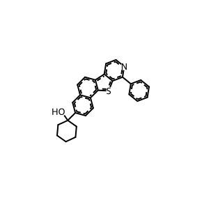 OC1(c2ccc3c(ccc4c5ccnc(-c6ccccc6)c5sc34)c2)CCCCC1